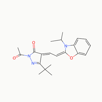 CC(=O)N1N=C(C(C)(C)C)/C(=C\C=C2\Oc3ccccc3N2C(C)C)C1=O